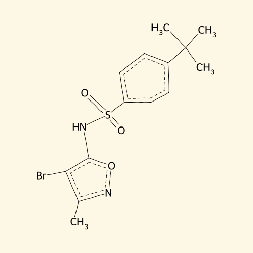 Cc1noc(NS(=O)(=O)c2ccc(C(C)(C)C)cc2)c1Br